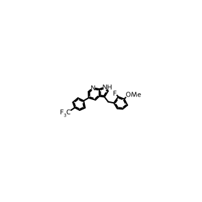 COc1cccc(Cc2c[nH]c3ncc(-c4ccc(C(F)(F)F)cc4)cc23)c1F